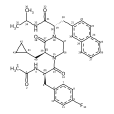 CC(=O)N[C@H](Cc1ccc(F)cc1)C(=O)N1CCN([C@@H](Cc2ccc3ccccc3c2)C(=O)NC(C)C)C(=O)[C@@H]1CC1CC1